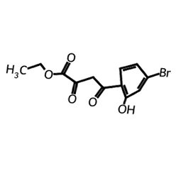 CCOC(=O)C(=O)CC(=O)c1ccc(Br)cc1O